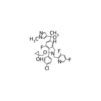 Cn1cc(C(C)(O)c2cc(F)c3c(c2)CN(Cc2ncc(F)cc2F)[C@@]3(OCC2(O)CC2)c2ccc(Cl)cc2)cn1